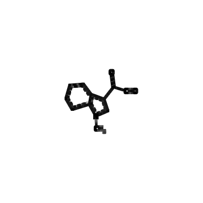 Cn1cc(C(=O)C=O)c2ccccc21